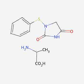 CC(N)C(=O)O.O=C1CN(Sc2ccccc2)C(=O)N1